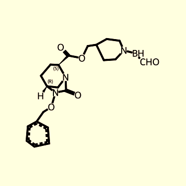 O=CBN1CCC(COC(=O)[C@@H]2CC[C@@H]3CN2C(=O)N3OCc2ccccc2)CC1